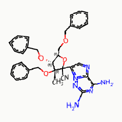 C[C@@]1(OCc2ccccc2)[C@H](OCc2ccccc2)[C@@H](COCc2ccccc2)OC1(C#N)c1cnc2c(N)nc(N)nn12